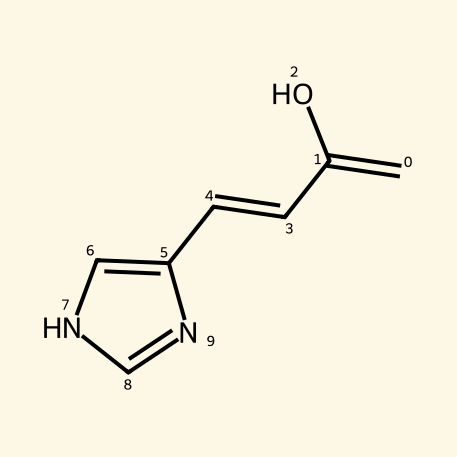 C=C(O)/C=C/c1c[nH]cn1